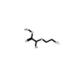 CCCCOC(=O)C(SCCC(F)(F)F)C(C)C